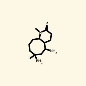 BC1(C)CCCC2C(CCC(=S)N2C)C(N)C1